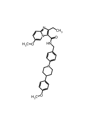 CCc1nc2ccc(OC)cn2c1C(=O)NCc1ccc(N2CCC(c3ccc(OC)cc3)CC2)cc1